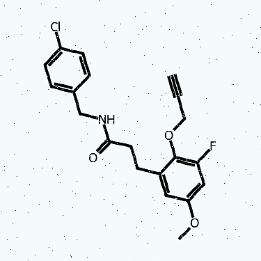 C#CCOc1c(F)cc(OC)cc1CCC(=O)NCc1ccc(Cl)cc1